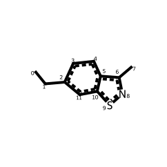 CCc1ccc2c(C)nsc2c1